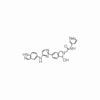 O=C(CN1Cc2cc(-c3nccc(Nc4ccc5[nH]ncc5c4)n3)ccc2C1O)Nc1ccnnc1